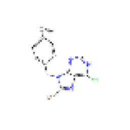 COc1ccc(Cn2c(Br)nc3c(Cl)ncnc32)cc1